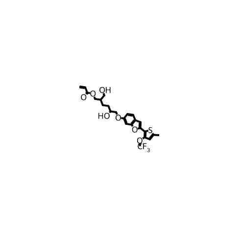 C=CC(=O)OCC(CO)CCC(O)COc1ccc2cc(-c3sc(C)cc3OC(F)(F)F)oc2c1